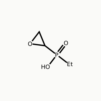 CCP(=O)(O)C1CO1